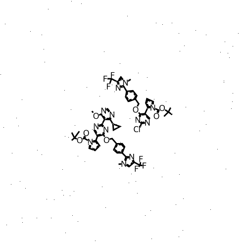 COc1ncnc(C2CC2)c1-c1ncc(-c2cccn2C(=O)OC(C)(C)C)c(OCc2ccc(-c3nc(C(F)(F)F)cn3C)cc2)n1.Cn1cc(C(F)(F)F)nc1-c1ccc(COc2nc(Cl)ncc2-c2cccn2C(=O)OC(C)(C)C)cc1